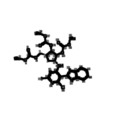 CC(C)(C)OC(=O)OC[C@H]1C[C@@H](Nc2nc(I)nc(Cl)c2-c2nc3ccccc3s2)[C@H](OC(=O)OC(C)(C)C)[C@@H]1OC(=O)OC(C)(C)C